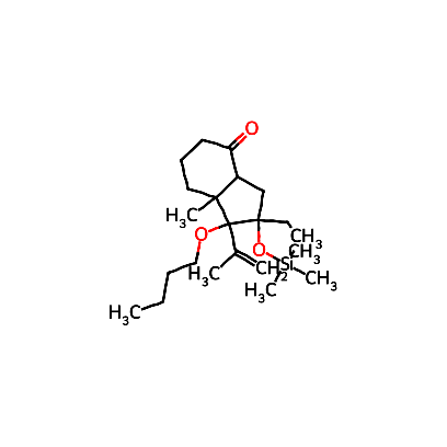 C=C(C)C1(OCCCC)C(CC)(O[Si](C)(C)C)CC2C(=O)CCCC21C